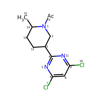 CC(=O)N1CC(c2nc(Cl)cc(Cl)n2)CCC1C